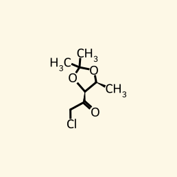 C[C@@H]1OC(C)(C)O[C@@H]1C(=O)CCl